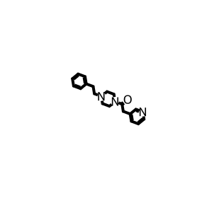 O=C(Cc1cccnc1)N1CCN(CCc2ccccc2)CC1